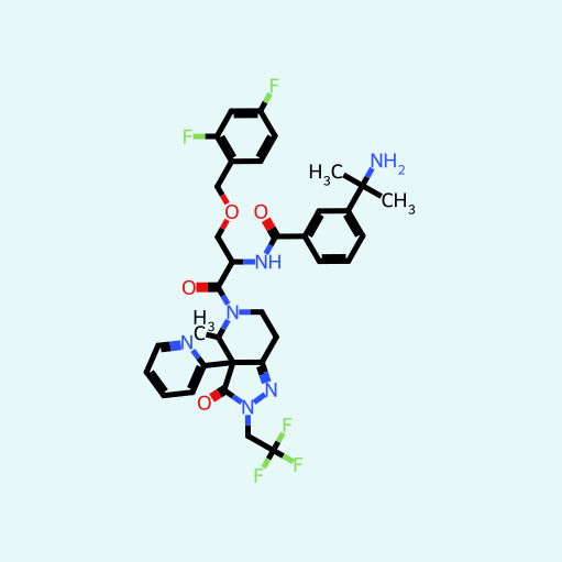 CC1N(C(=O)C(COCc2ccc(F)cc2F)NC(=O)c2cccc(C(C)(C)N)c2)CCC2=NN(CC(F)(F)F)C(=O)C21c1ccccn1